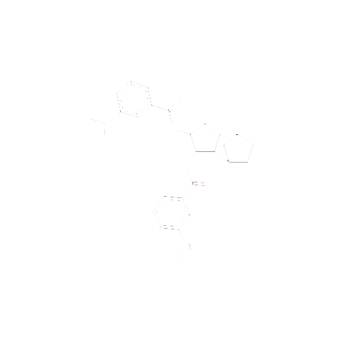 CPc1cccc(C(=O)OC2CC3C4CCC(C4)C3C2OC(=O)c2cccc(PC)c2)c1